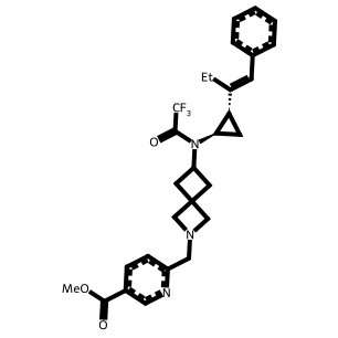 CC/C(=C\c1ccccc1)[C@@H]1C[C@H]1N(C(=O)C(F)(F)F)C1CC2(C1)CN(Cc1ccc(C(=O)OC)cn1)C2